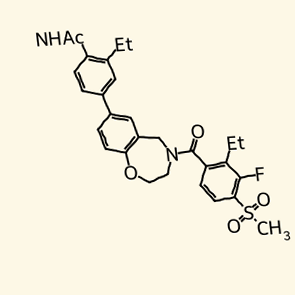 CCc1cc(-c2ccc3c(c2)CN(C(=O)c2ccc(S(C)(=O)=O)c(F)c2CC)CCO3)ccc1NC(C)=O